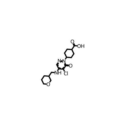 O=C(O)C1CCC(n2ncc(NCC3CCCOC3)c(Cl)c2=O)CC1